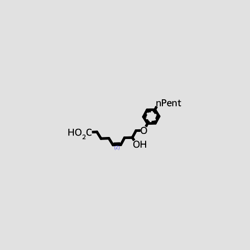 CCCCCc1ccc(OCC(O)C/C=C\CCCC(=O)O)cc1